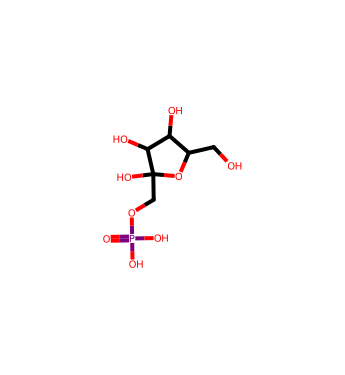 O=P(O)(O)OCC1(O)OC(CO)C(O)C1O